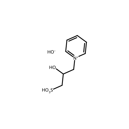 O=S(=O)(O)CC(O)C[n+]1ccccc1.[OH-]